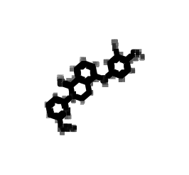 CNc1cccc(N2CCc3c(Oc4ccc(C(F)(F)F)c(F)c4)cccc3C2=O)n1